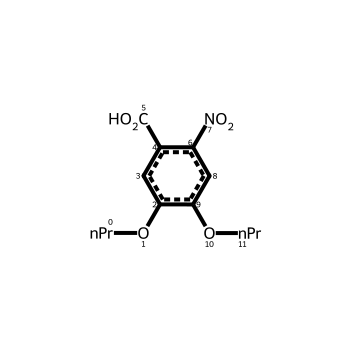 CCCOc1cc(C(=O)O)c([N+](=O)[O-])cc1OCCC